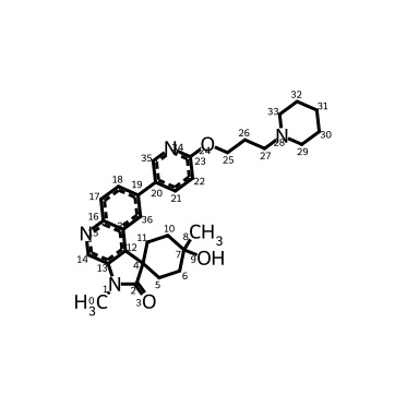 CN1C(=O)C2(CCC(C)(O)CC2)c2c1cnc1ccc(-c3ccc(OCCCN4CCCCC4)nc3)cc21